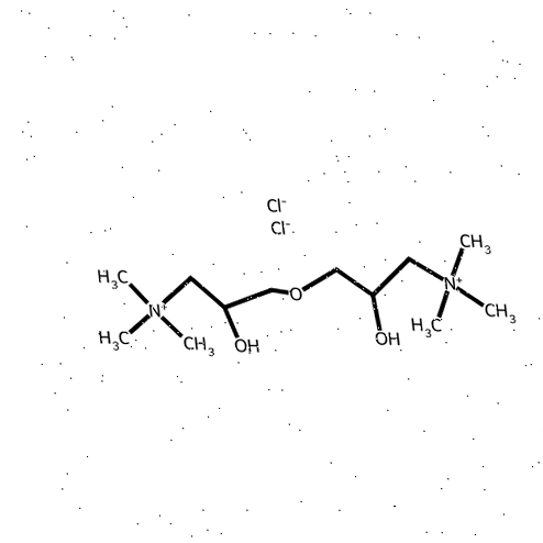 C[N+](C)(C)CC(O)COCC(O)C[N+](C)(C)C.[Cl-].[Cl-]